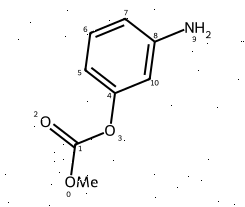 COC(=O)Oc1cccc(N)c1